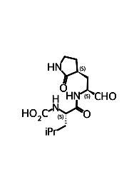 CC(C)C[C@H](NC(=O)O)C(=O)N[C@H](C=O)C[C@@H]1CCNC1=O